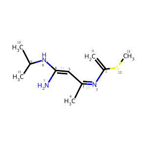 C=C(/N=C(C)\C=C(/N)NC(C)C)SC